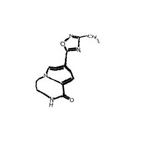 Cc1noc(-c2cc3n(c2)CCNC3=O)n1